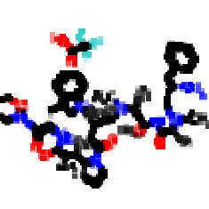 CC[C@H](C)[C@@H]([C@@H](CC(=O)N1CCC[C@H]1[C@H](OC)[C@@H](C)C(=O)N[C@@H](Cc1c[nH]c2ccccc12)C(=O)N1CCCCO1)OC)N(C)[C@H](C(=O)NC(=O)[C@H](C(C)C)N(C)C[C@@H](N)Cc1ccccc1)C(C)C.O=C(O)C(F)(F)F